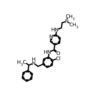 CC(NCc1ccc(Cl)c(NC(=O)c2ccc(NCCN(C)C)nc2)c1)c1ccccc1